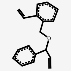 C=Cc1ccccc1COC(C=C)c1ccccc1